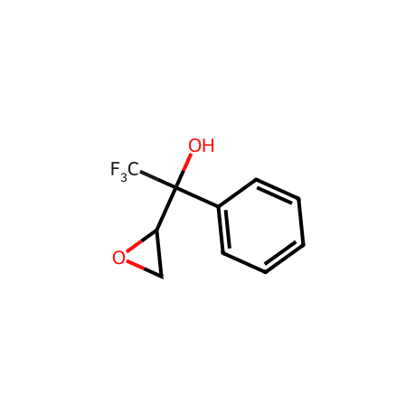 OC(c1ccccc1)(C1CO1)C(F)(F)F